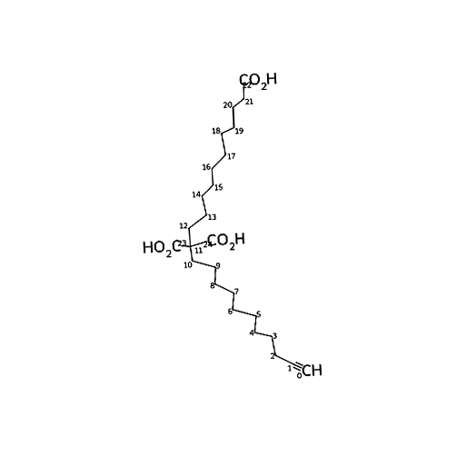 C#CCCCCCCCCCC(CCCCCCCCCCC(=O)O)(C(=O)O)C(=O)O